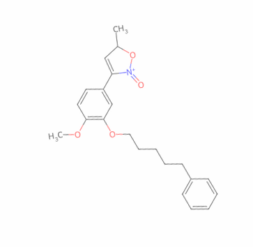 COc1ccc(C2=CC(C)O[N+]2=O)cc1OCCCCCc1ccccc1